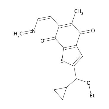 C=N/C=C\C1=C(C)C(=O)c2cc(C(OCC)C3CC3)sc2C1=O